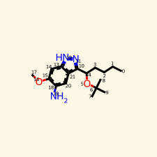 CCCCC(OC(C)(C)C)c1n[nH]c2cc(OC)c(N)cc12